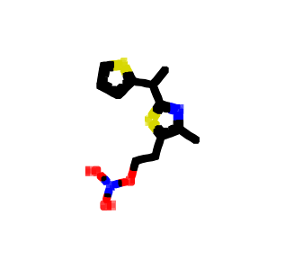 Cc1nc(C(C)c2cccs2)sc1CCON(O)O